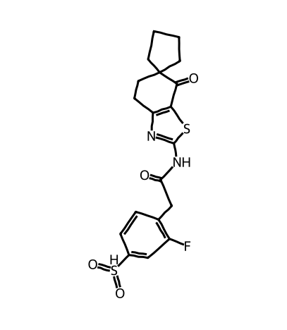 O=C(Cc1ccc([SH](=O)=O)cc1F)Nc1nc2c(s1)C(=O)C1(CCCC1)CC2